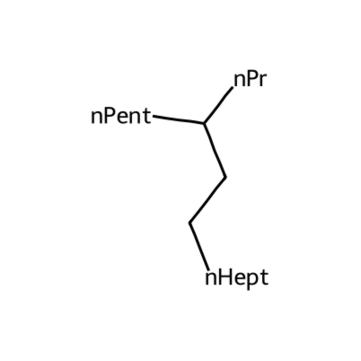 CCCCCCCCCC(CCC)CCCCC